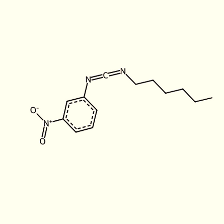 CCCCCCN=C=Nc1cccc([N+](=O)[O-])c1